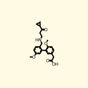 COc1ccc(CNCCC(=O)C2CC2)c(-c2cc(CC(=O)O)ccc2OC)c1